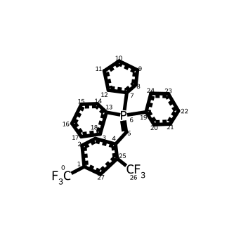 FC(F)(F)c1ccc(C=P(c2ccccc2)(c2ccccc2)c2ccccc2)c(C(F)(F)F)c1